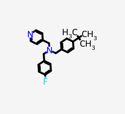 CC(C)(C)C1C=CC(CN(Cc2ccncc2)Cc2ccc(F)cc2)=CC1